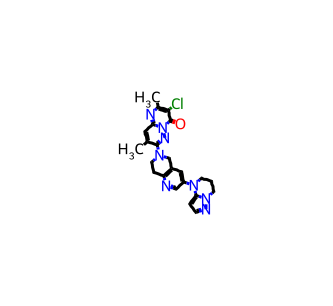 Cc1cc2nc(C)c(Cl)c(=O)n2nc1N1CCc2ncc(N3CCCn4nccc43)cc2C1